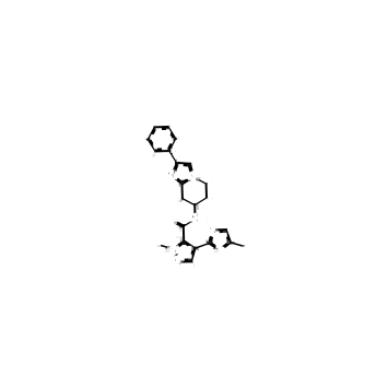 Cc1cnc(-c2cnn(C)c2C(=O)NC2CCn3cc(-c4ccccc4)nc3C2)s1